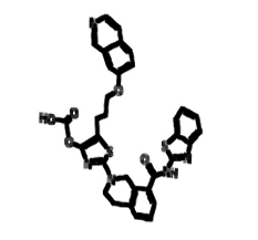 O=C(O)Oc1nc(N2CCc3cccc(C(=O)Nc4nc5ccccc5s4)c3C2)sc1CCCOc1ccc2ccncc2c1